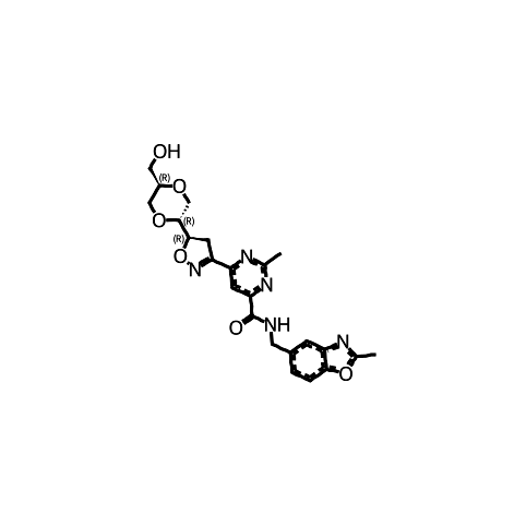 Cc1nc(C(=O)NCc2ccc3oc(C)nc3c2)cc(C2=NO[C@@H]([C@H]3CO[C@H](CO)CO3)C2)n1